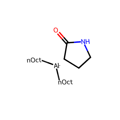 CCCCCCC[CH2][Al][CH2]CCCCCCC.O=C1CCCN1